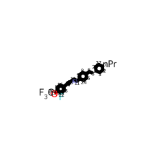 CCC[C@H]1CC[C@H](CCC2CCC(/C=C/C#Cc3ccc(OC(F)(F)F)c(F)c3)CC2)CC1